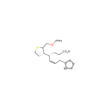 CCCCCCOCC1SCC[C@H]1[C@@H](/C=C\Cc1ccc[se]1)CCC(=O)O